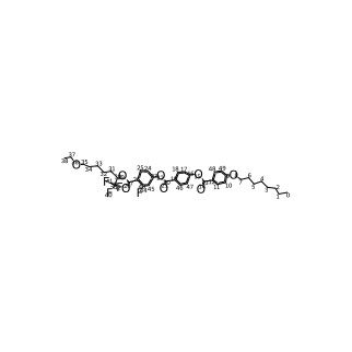 CCCCCCCCOc1ccc(C(=O)Oc2ccc(C(=O)Oc3ccc(C(=O)O[C@H](CCCCCOCC)C(F)(F)F)c(F)c3)cc2)cc1